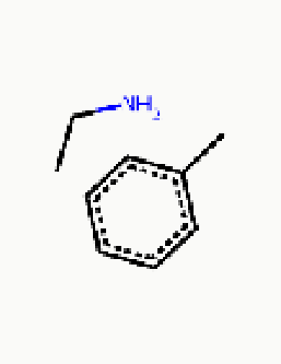 CCN.Cc1ccccc1